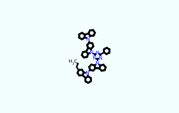 C=CCc1ccc2c3ccccc3n(-c3ccc4c(c3)c3ccccc3n4-c3nc(-c4ccccc4)nc(-n4c5ccccc5c5cc(-n6c7ccccc7c7ccccc76)ccc54)n3)c2c1